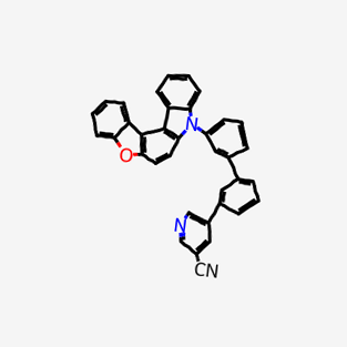 N#Cc1cncc(-c2cccc(-c3cccc(-n4c5ccccc5c5c6c(ccc54)oc4ccccc46)c3)c2)c1